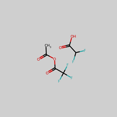 CC(=O)OC(=O)C(F)(F)F.O=C(O)C(F)F